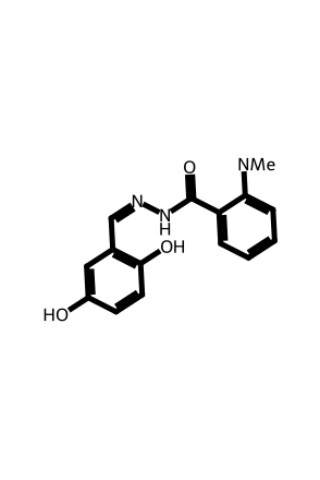 CNc1ccccc1C(=O)N/N=C\c1cc(O)ccc1O